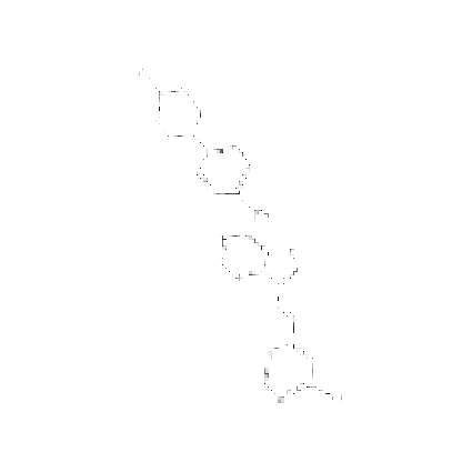 CCN1CCN(c2ccc(Nc3ncnc4c(C=Cc5ccnc(Cl)c5)csc34)cc2)CC1